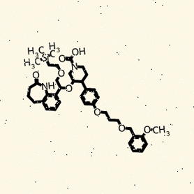 COc1ccccc1COCCCOc1ccc(C2CCN(C(=O)O)CC2OC(COCC[Si](C)(C)C)c2cccc3c2NC(=O)CCC3)cc1